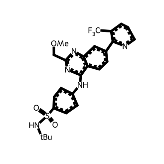 COCc1nc(Nc2ccc(S(=O)(=O)NC(C)(C)C)cc2)c2ccc(-c3ncccc3C(F)(F)F)cc2n1